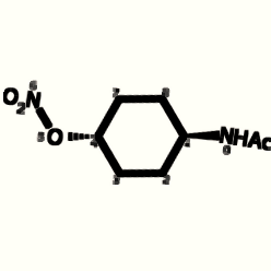 CC(=O)N[C@H]1CC[C@H](O[N+](=O)[O-])CC1